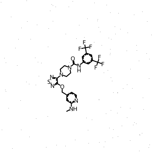 CNc1cc(COc2nsnc2N2CCN(C(=O)Nc3cc(C(F)(F)F)cc(C(F)(F)F)c3)CC2)ccn1